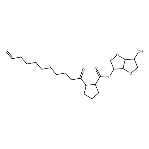 C=CCCCCCCCCC(=O)N1CCCC1C(=O)OC1COC2C(O)COC12